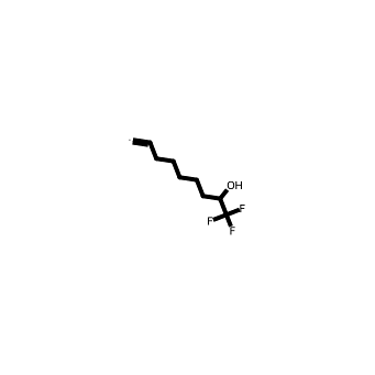 [CH]=CCCCCCC(O)C(F)(F)F